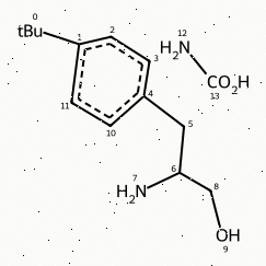 CC(C)(C)c1ccc(CC(N)CO)cc1.NC(=O)O